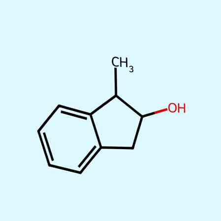 CC1c2ccccc2CC1O